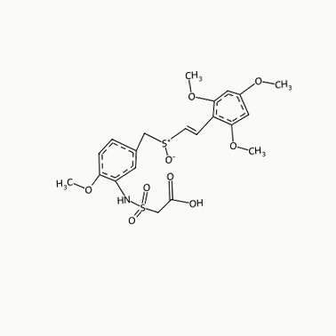 COc1cc(OC)c(C=C[S+]([O-])Cc2ccc(OC)c(NS(=O)(=O)CC(=O)O)c2)c(OC)c1